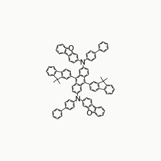 CC1(C)c2ccccc2-c2ccc(-c3c4ccc(N(c5ccc(-c6ccccc6)cc5)c5ccc6c(c5)oc5ccccc56)cc4c(-c4ccc5c(c4)C(C)(C)c4ccccc4-5)c4ccc(N(c5ccc(-c6ccccc6)cc5)c5ccc6c(c5)oc5ccccc56)cc34)cc21